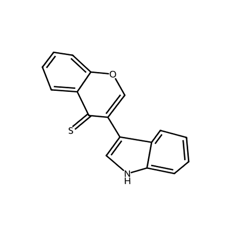 S=c1c(-c2c[nH]c3ccccc23)coc2ccccc12